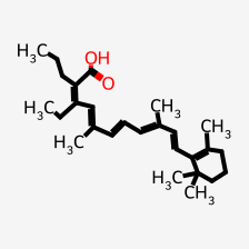 CCCC(C(=O)O)=C(C=C(C)C=CC=C(C)C=CC1=C(C)CCCC1(C)C)CC